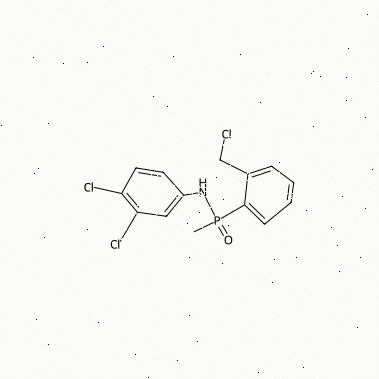 CP(=O)(Nc1ccc(Cl)c(Cl)c1)c1ccccc1CCl